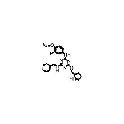 COc1ccc(Nc2nc(NCC3CCCCC3)nc(OCC3CCCN3)n2)cc1F